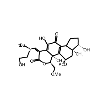 COC[C@H]1OC(=O)C(=CN(CCO)C(C)(C)C)C2=C(O)C(=O)C3=C([C@H](OC(C)=O)C[C@@]4(C)C3CC[C@@H]4O)[C@]21C